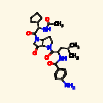 CC(=O)NC(C(=O)N1CC(=O)C2C1CCN2C(=O)C(CC(C)C)NC(=O)c1ccc(N)cc1)C1CCCC1